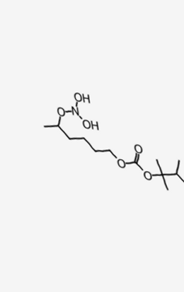 CC(CCCCOC(=O)OC(C)(C)C(C)C)ON(O)O